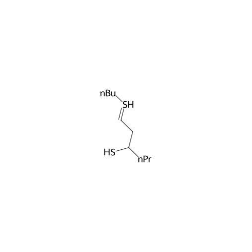 CCCC[SH]=CCC(S)CCC